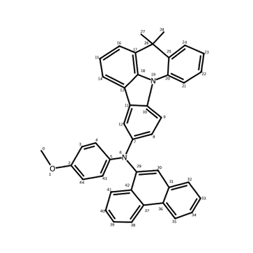 COc1ccc(N(c2ccc3c(c2)c2cccc4c2n3-c2ccccc2C4(C)C)c2cc3ccccc3c3ccccc23)cc1